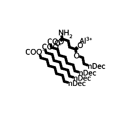 CCCCCCCCCCCCCCCCCC(=O)[O-].CCCCCCCCCCCCCCCCCC(=O)[O-].CCCCCCCCCCCCCCCCCC(=O)[O-].CCCCCCCCCCCCOC(=O)CCC(N)=O.[Al+3]